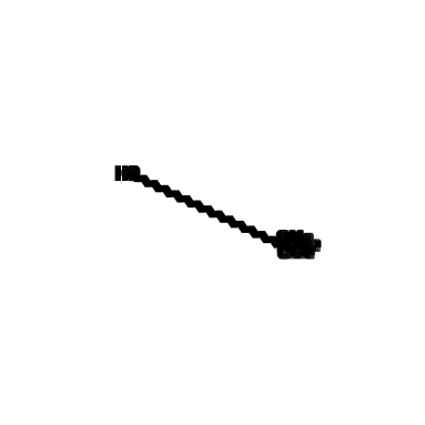 CO[Si](CCCCCCCCCCCCCCCCCCCCCCCCCCCO)(OC)OC